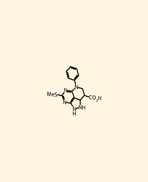 CSc1nc2c3c(n1)N(c1ccccc1)CC(C(=O)O)C3NN2